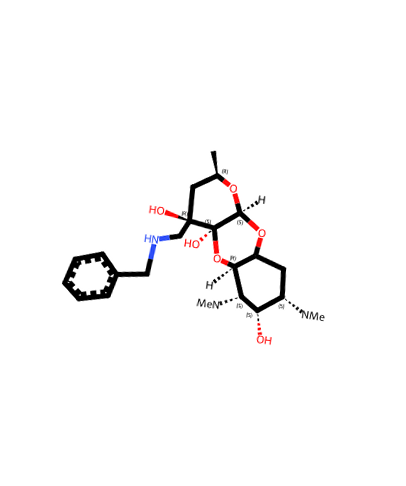 CN[C@H]1[C@@H](O)[C@@H](NC)CC2O[C@@H]3O[C@H](C)C[C@@](O)(CNCc4ccccc4)[C@]3(O)O[C@@H]21